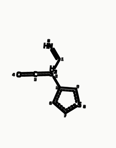 N=C[SH2](=C=O)c1ccsc1